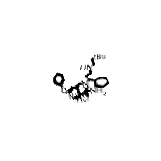 CC(C)(C)CCNCC[C@@H](C1CCCCC1)N1Cc2cc(Oc3ccccc3)ncc2N=C1N.Cl